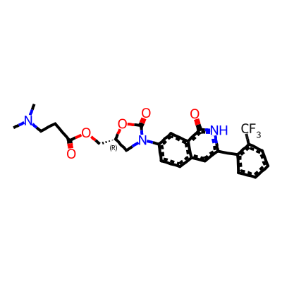 CN(C)CCC(=O)OC[C@H]1CN(c2ccc3cc(-c4ccccc4C(F)(F)F)[nH]c(=O)c3c2)C(=O)O1